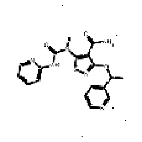 CC(Oc1nsc(N(C)C(=O)Nc2ccccn2)c1C(N)=O)c1cccnc1